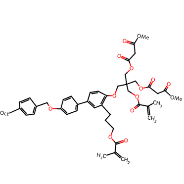 C=C(C)C(=O)OCCCc1cc(-c2ccc(OCc3ccc(CCCCCCCC)cc3)cc2)ccc1OCC(COC(=O)CC(=O)OC)(COC(=O)CC(=O)OC)COC(=O)C(=C)C